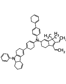 C=CC1=C(C=C)C(C)(C)C2=CC(N(C3=CC=C(C4=CC5=C(CC4)N(c4ccccc4)C4CCC=CC54)CC3)c3ccc(C4=CC=CCC4)cc3)CCC21